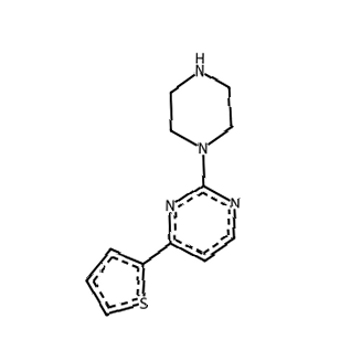 c1csc(-c2ccnc(N3CCNCC3)n2)c1